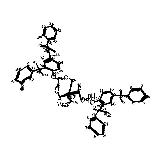 CC(C)(c1ccccc1)c1ccc(OPOCC2(CO)COP(Oc3ccc(C(C)(C)c4ccccc4)cc3C(C)(C)c3ccccc3)OC2)c(C(C)(C)c2ccccc2)c1